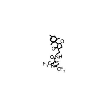 Cc1cc(C)c(C2C(=O)CC(CCNC(=O)c3sc(C(F)(F)F)nc3C(F)(F)F)C2=O)c(C)c1